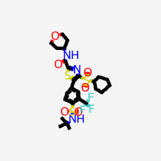 CC(C)(C)NS(=O)(=O)c1ccc(-c2sc(C(=O)NC3CCOCC3)nc2S(=O)(=O)C2CCCCC2)cc1C(F)(F)F